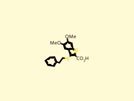 COc1cc2sc(C(=O)O)c(SCCc3ccccc3)c2cc1OC